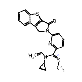 C=CN(/C(=N\C)c1cccc(N2Cc3c(sc4ccccc34)C2=O)n1)C1CC1